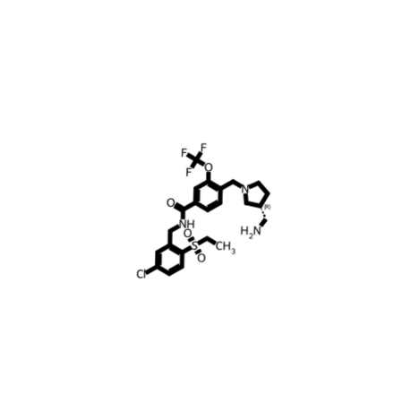 CCS(=O)(=O)c1ccc(Cl)cc1CNC(=O)c1ccc(CN2CC[C@H](CN)C2)c(OC(F)(F)F)c1